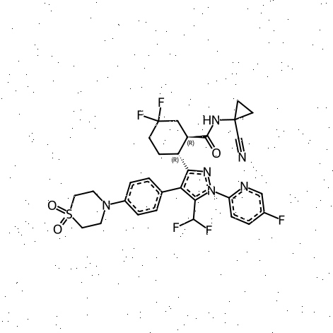 N#CC1(NC(=O)[C@@H]2CC(F)(F)CC[C@H]2c2nn(-c3ccc(F)cn3)c(C(F)F)c2-c2ccc(N3CCS(=O)(=O)CC3)cc2)CC1